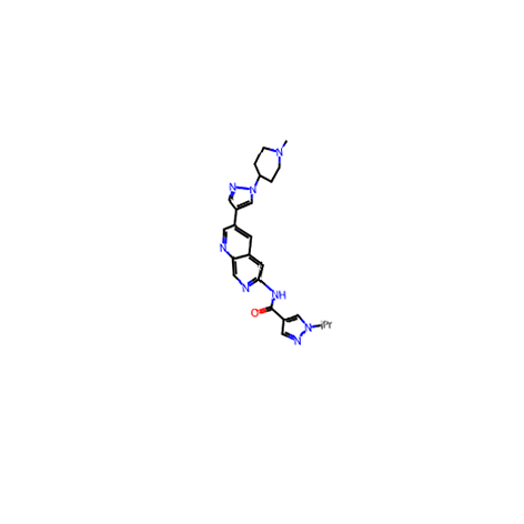 CC(C)n1cc(C(=O)Nc2cc3cc(-c4cnn(C5CCN(C)CC5)c4)cnc3cn2)cn1